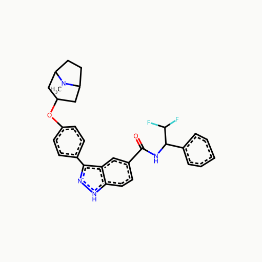 CN1C2CCC1CC(Oc1ccc(-c3n[nH]c4ccc(C(=O)NC(c5ccccc5)C(F)F)cc34)cc1)C2